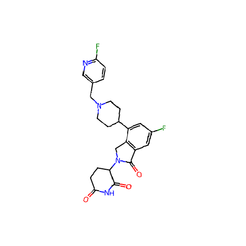 O=C1CCC(N2Cc3c(cc(F)cc3C3CCN(Cc4ccc(F)nc4)CC3)C2=O)C(=O)N1